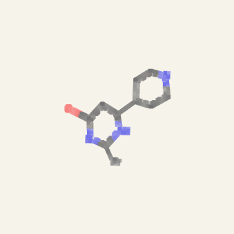 CC(C)c1nc(=O)cc(-c2ccncc2)[nH]1